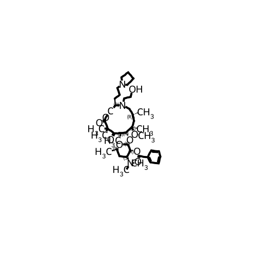 CO[C@]1(C)C[C@@H](C)CN(CCO)[C@H](CCCN2CCCC2)COC(=O)C(C)(C)C(=O)[C@H](C)[C@H]1O[C@@H]1O[C@H](C)C[C@H](N(C)C)[C@H]1OC(=O)c1ccccc1